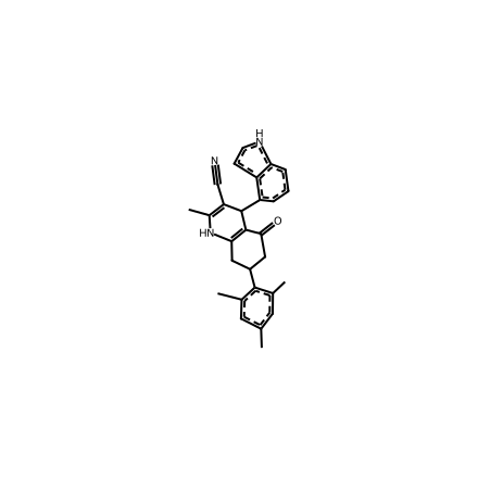 CC1=C(C#N)C(c2cccc3[nH]ccc23)C2=C(CC(c3c(C)cc(C)cc3C)CC2=O)N1